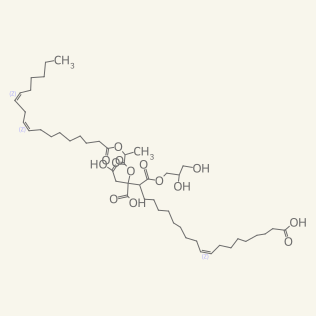 CCCCC/C=C\C/C=C\CCCCCCCC(=O)OC(C)C(=O)OC(CC(=O)O)(C(=O)O)C(CCCCCCCC/C=C\CCCCCCCC(=O)O)C(=O)OCC(O)CO